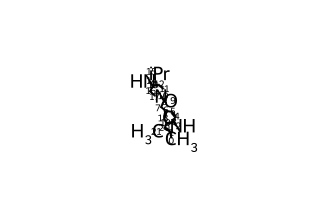 Cc1[nH]c2ccc(CC(=O)N3CCC(NC(C)C)CC3)cc2c1C